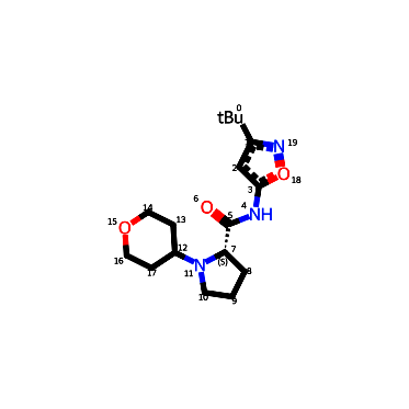 CC(C)(C)c1cc(NC(=O)[C@@H]2CCCN2C2CCOCC2)on1